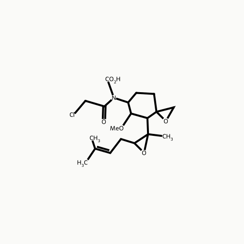 COC1C(N(C(=O)O)C(=O)CCl)CCC2(CO2)C1C1(C)OC1CC=C(C)C